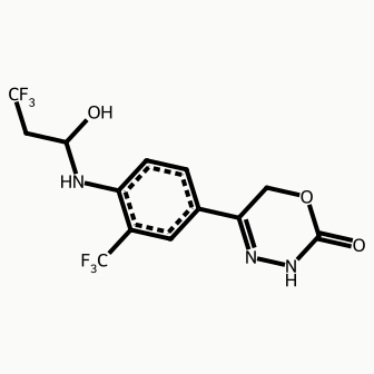 O=C1NN=C(c2ccc(NC(O)CC(F)(F)F)c(C(F)(F)F)c2)CO1